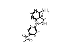 CS(=O)(=O)c1ccc(N2NCc3c(N)ncnc32)cc1